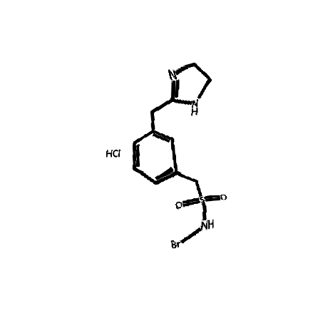 Cl.O=S(=O)(Cc1cccc(CC2=NCCN2)c1)NBr